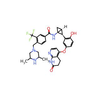 CC1CN(Cc2ccc(C(=O)N[C@@]34C[C@H]3[C@H]4c3cc(Oc4ccnc5c4CCC(=O)N5)ccc3O)cc2C(F)(F)F)CC(C)N1